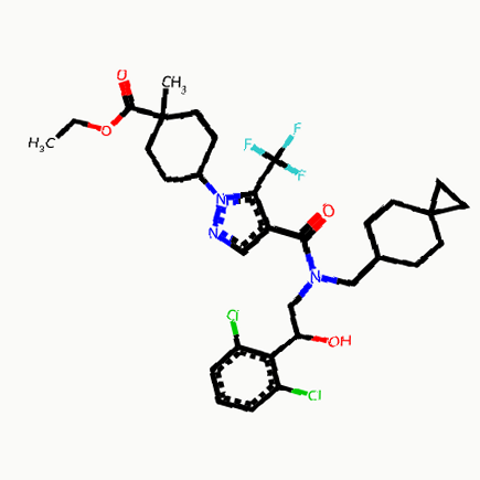 CCOC(=O)C1(C)CCC(n2ncc(C(=O)N(CC3CCC4(CC3)CC4)CC(O)c3c(Cl)cccc3Cl)c2C(F)(F)F)CC1